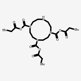 CC(C)(C)CC(=O)OC(=O)N1CCNCCN(C(=O)OC(=O)CC(C)(C)C)CCN(C(=O)OC(=O)CC(C)(C)C)CC1